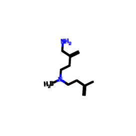 BN(CCC(=C)C)CCC(=C)CN